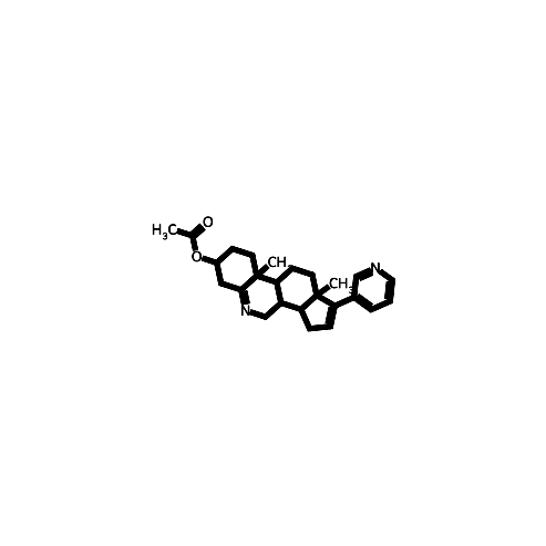 CC(=O)OC1CCC2(C)C(=NCC3C4CC=C(c5cccnc5)C4(C)CCC32)C1